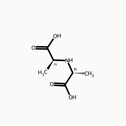 C[C@H](N[C@H](C)C(=O)O)C(=O)O